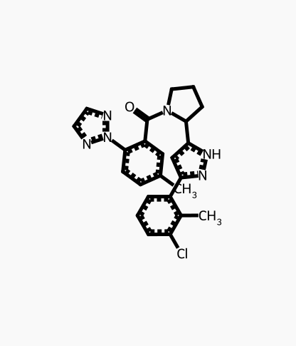 Cc1ccc(-n2nccn2)c(C(=O)N2CCCC2c2cc(-c3cccc(Cl)c3C)n[nH]2)c1